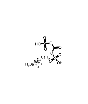 O=C(OS(=O)(=O)O)OS(=O)(=O)O.[BaH2].[BaH2].[CaH2].[CaH2]